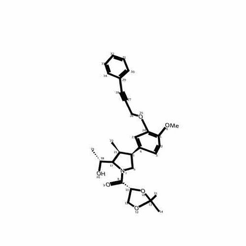 COc1ccc([C@H]2CN(C(=O)[C@H]3COC(C)(C)O3)C([C@@H](C)O)[C@H]2C)cc1OCC#Cc1ccccc1